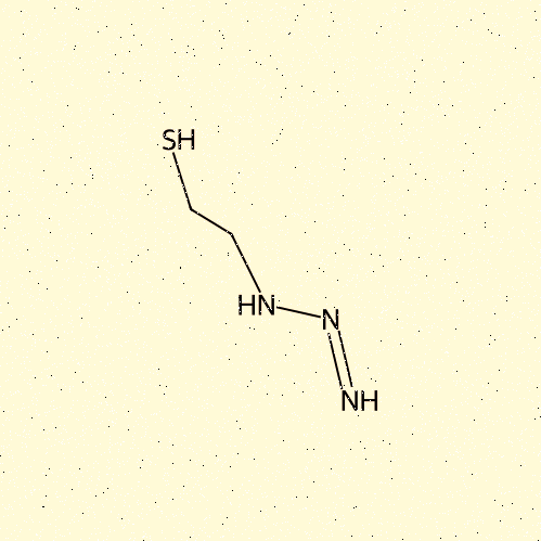 N=NNCCS